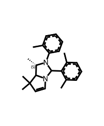 Cc1ccccc1N1C(c2c(C)cccc2C)N2C=CC(C)(C)C2[C@@H]1C